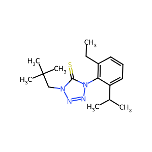 CCc1cccc(C(C)C)c1-n1nnn(CC(C)(C)C)c1=S